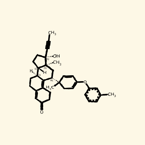 CC#C[C@]1(O)CC[C@H]2[C@@H]3CCC4=CC(=O)CCC4=C3[C@@H](C3(C)C=CC(Oc4cccc(C)c4)=CC3)C[C@@]21C